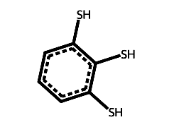 Sc1cccc(S)c1S